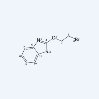 BrCCOc1nc2ccccc2s1